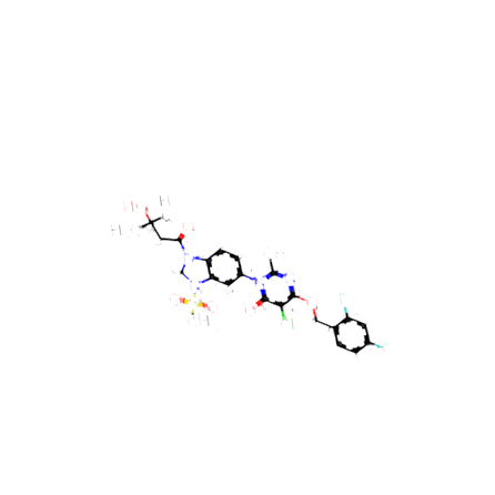 Cc1nc(OCc2ccc(F)cc2F)c(Cl)c(=O)n1-c1ccc2c(c1)N(S(C)(=O)=O)CN2C(=O)CC(C)(C)O